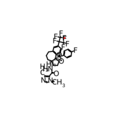 Cc1ncn(C)c1C(=O)N[C@@H]1CC[C@@]2(S(=O)(=O)c3ccc(F)cc3)c3ccc(C(F)(C(F)(F)F)C(F)(F)F)cc3CCC[C@@H]12